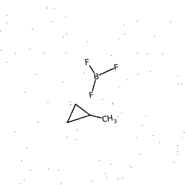 CC1CC1.FB(F)F